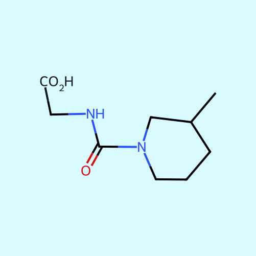 CC1CCCN(C(=O)NCC(=O)O)C1